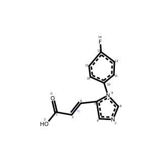 O=C(O)/C=C/c1cncn1-c1ccc(F)cc1